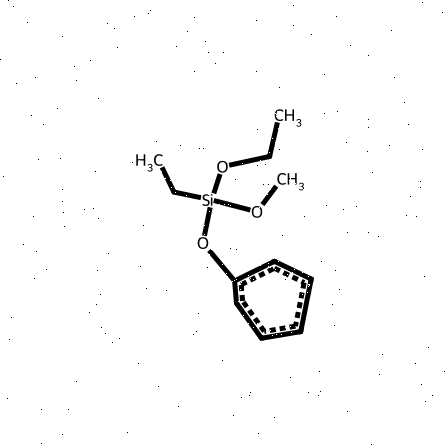 CCO[Si](CC)(OC)Oc1ccccc1